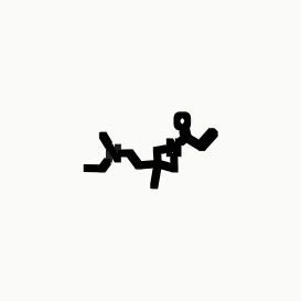 C=CC(=O)N1CC(C)(CCN(C)CC)C1